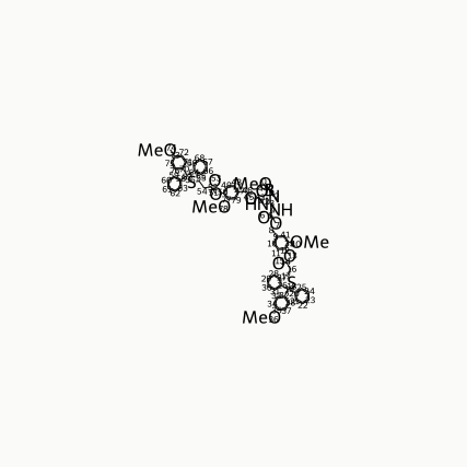 CO/B=N/C(NC(=O)OCc1ccc(OC(=O)CCSC(c2ccccc2)(c2ccccc2)c2ccc(OC)cc2)c(OC)c1)NC(=O)OCc1ccc(OC(=O)CCSC(c2ccccc2)(c2ccccc2)c2ccc(OC)cc2)c(OC)c1